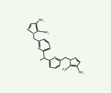 CC(c1cccc(Cn2ncc(N)c2N)n1)c1cccc(Cn2ncc(N)c2N)n1